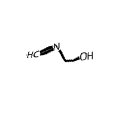 [CH]=NCO